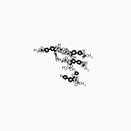 CC(=O)Nc1ccc(-c2ccc3nc(NC(C)=O)nc(O)c3c2)cc1.CC(=O)Nc1ccc(-c2ccc3nc(NC(C)=O)nc(OC(C)C)c3c2)cc1.CC(=O)Nc1nc(OC2CCCC2)c2cc(-c3ccc(F)cc3)ccc2n1.COCCOc1nc(NC(C)=O)nc2ccc(-c3ccc(NC(C)=O)cc3)cc12